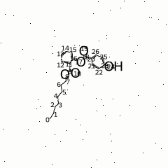 CCCCCCCCOC(=O)c1ccccc1OC(=O)c1ccc(O)cc1